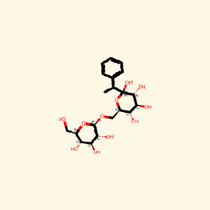 CC(c1ccccc1)[C@@]1(O)O[C@H](CO[C@@H]2O[C@H](CO)[C@@H](O)[C@H](O)[C@H]2O)[C@@H](O)[C@H](O)[C@H]1O